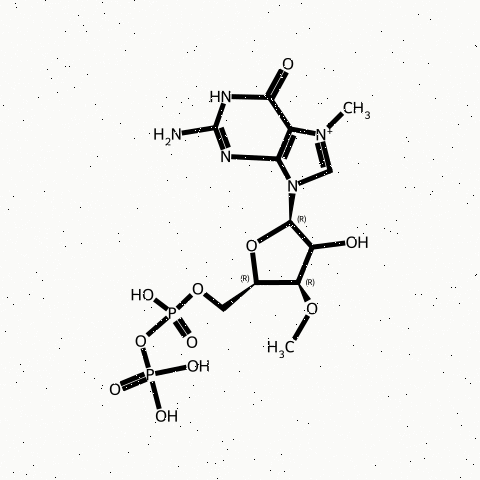 CO[C@@H]1C(O)[C@H](n2c[n+](C)c3c(=O)[nH]c(N)nc32)O[C@@H]1COP(=O)(O)OP(=O)(O)O